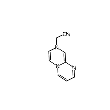 N#CCN1C=CN2C=CC=NC2=C1